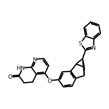 O=C1CCc2c(Oc3ccc4c(c3)C3C5C4C35c3nc4ccccc4s3)ccnc2N1